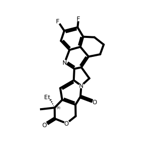 CC[C@@]1(C)C(=O)OCc2c1cc1n(c2=O)Cc2c-1nc1cc(F)c(F)c3c1c2CCC3